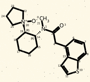 CN(C(=O)Cc1cccc2sccc12)[C@@H]1CCCC[C@H]1[N+]1([O-])CCCC1